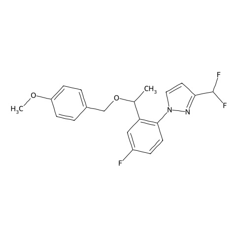 COc1ccc(COC(C)c2cc(F)ccc2-n2ccc(C(F)F)n2)cc1